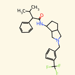 CC(C)C(C(=O)NC1CCC2CN(Cc3cccc(C(F)(F)F)c3)CC21)c1ccccc1